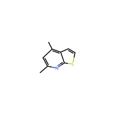 Cc1cc(C)c2ccsc2n1